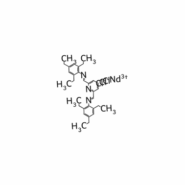 CCc1cc(CC)c(N=Cc2cccc(C=Nc3c(CC)cc(CC)cc3CC)n2)c(CC)c1.[Cl-].[Cl-].[Cl-].[Nd+3]